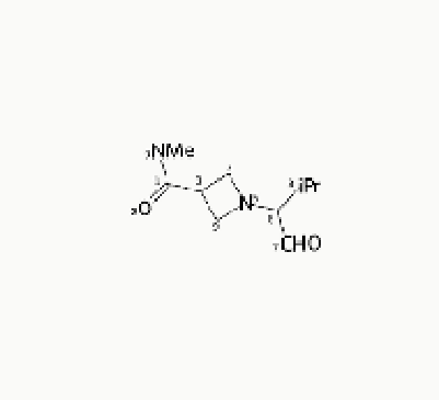 CNC(=O)C1CN(C(C=O)C(C)C)C1